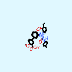 CCc1ccccc1Oc1ccc(-c2ccc(OC)c(C(=O)O)c2)cc1NC(=O)Nc1ccc(C)cc1